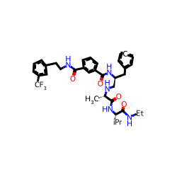 CCNC(=O)[C@@H](NC(=O)[C@H](C)NC[C@H](Cc1ccccc1)NC(=O)c1cccc(C(=O)NCCc2cccc(C(F)(F)F)c2)c1)C(C)C